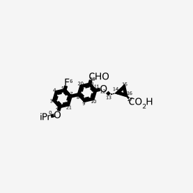 CC(C)Oc1ccc(F)c(-c2ccc(OC[C@@H]3C[C@H]3C(=O)O)c(C=O)c2)c1